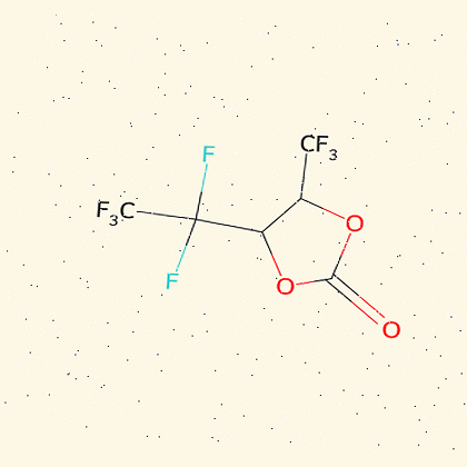 O=C1OC(C(F)(F)F)C(C(F)(F)C(F)(F)F)O1